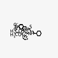 CC(C)(C)OC(=O)N1CCS[C@H]1C(=O)N[C@H](CCC1CCCCC1)C(=S)NCc1ccc([N+](=O)[O-])cc1